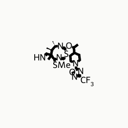 CSC1/N=C/S/C(OC(C)C2CCN(c3nc(C(F)(F)F)no3)CC2)=N\[C@@H](C)[C@H](C)C1(C)C=N